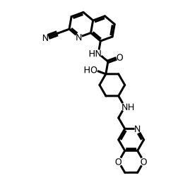 N#Cc1ccc2cccc(NC(=O)C3(O)CCC(NCc4cc5c(cn4)OCCO5)CC3)c2n1